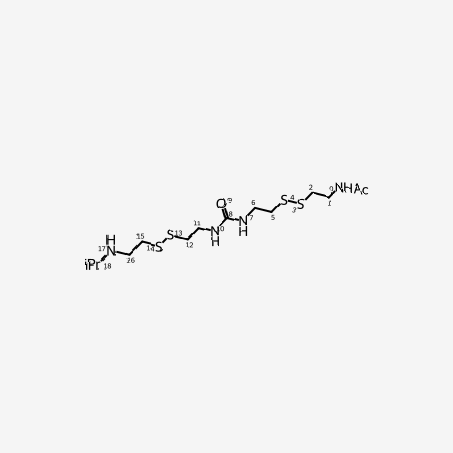 CC(=O)NCCSSCCNC(=O)NCCSSCCNC(C)C